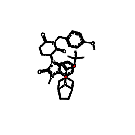 COc1ccc(CN2C(=O)CCC(n3c(=O)n(C)c4c(N5C6CCC5CN(C(=O)OC(C)(C)C)C6)cccc43)C2=O)cc1